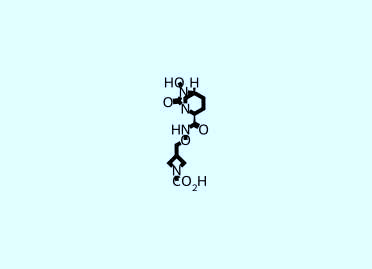 O=C(NOCC1CN(C(=O)O)C1)[C@@H]1CC[C@@H]2CN1C(=O)N2O